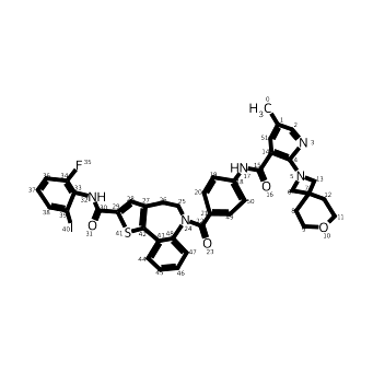 Cc1cnc(N2CC3(CCOCC3)C2)c(C(=O)Nc2ccc(C(=O)N3CCc4cc(C(=O)Nc5c(F)cccc5I)sc4-c4ccccc43)cc2)c1